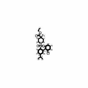 CCOC(=O)C1(F)CCN(S(=O)(=O)c2ccc(C(C)C)cc2-c2ccccc2Cl)CC1